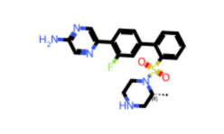 C[C@@H]1CNCCN1S(=O)(=O)c1ccccc1-c1ccc(-c2cnc(N)cn2)c(F)c1